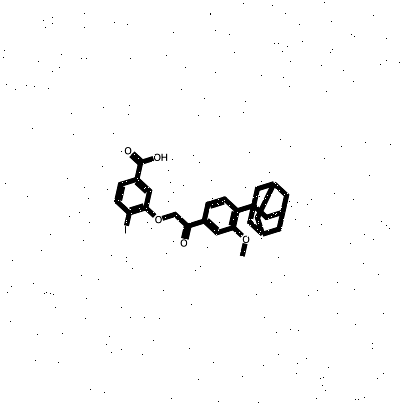 COc1cc(C(=O)COc2cc(C(=O)O)ccc2I)ccc1C12CC3CC(CC(C3)C1)C2